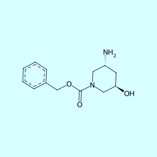 N[C@@H]1C[C@@H](O)CN(C(=O)OCc2ccccc2)C1